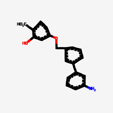 Nc1cccc(-c2cccc(COc3ccc(C(=O)O)c(O)c3)c2)c1